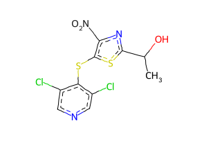 CC(O)c1nc([N+](=O)[O-])c(Sc2c(Cl)cncc2Cl)s1